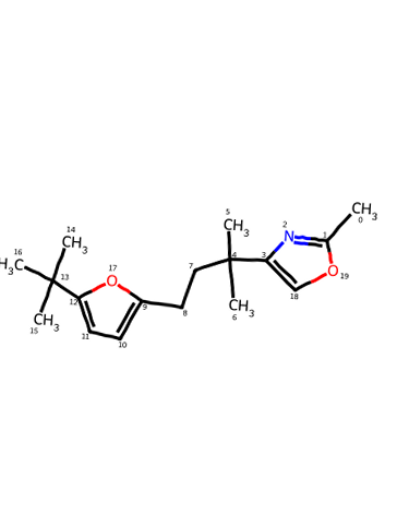 Cc1nc(C(C)(C)CCc2ccc(C(C)(C)C)o2)co1